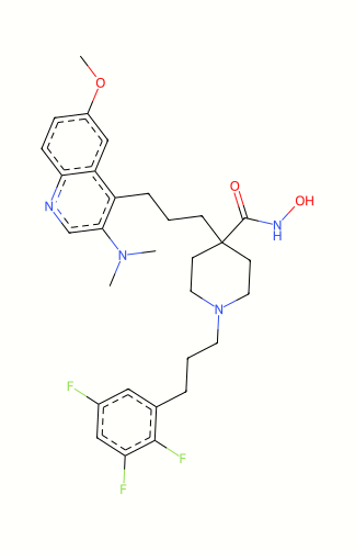 COc1ccc2ncc(N(C)C)c(CCCC3(C(=O)NO)CCN(CCCc4cc(F)cc(F)c4F)CC3)c2c1